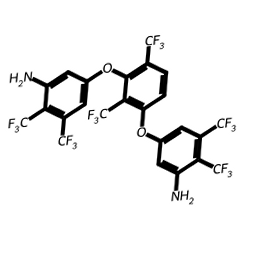 Nc1cc(Oc2ccc(C(F)(F)F)c(Oc3cc(N)c(C(F)(F)F)c(C(F)(F)F)c3)c2C(F)(F)F)cc(C(F)(F)F)c1C(F)(F)F